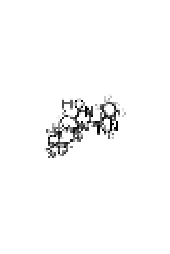 C[C@@H]1[C@H]2CCc3c(O)nc(-c4ncnc5ccccc45)nc3[C@]2(C)CCC12OCCO2